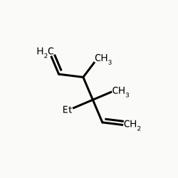 C=CC(C)C(C)(C=C)CC